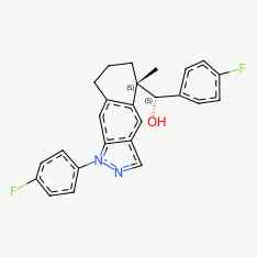 C[C@]1([C@@H](O)c2ccc(F)cc2)CCCc2cc3c(cnn3-c3ccc(F)cc3)cc21